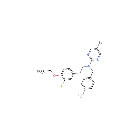 CCc1cnc(N(CCc2ccc(OCC(=O)O)c(F)c2)Cc2ccc(C(F)(F)F)cc2)nc1